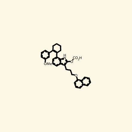 COc1cccc(C2=C(c3cccc4c(CCCOc5cccc6ccccc56)c(OC(=O)O)[nH]c34)CCCC2)c1